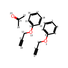 C#CCOc1ccccc1.C#CCOc1ccccc1.CC(C)=O